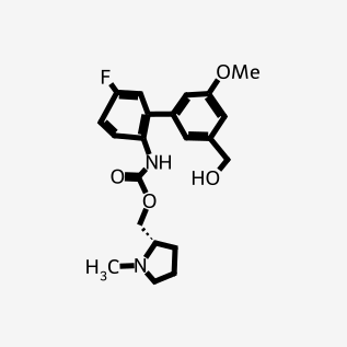 COc1cc(CO)cc(-c2cc(F)ccc2NC(=O)OC[C@@H]2CCCN2C)c1